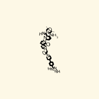 CN/C=N\C(=N)c1ccc(C2=CCN(C(=O)CN3CC[C@]4(CCN(c5ccc(N)c(C(=N)N6C[C@@H](C)O[C@@H](C)C6)n5)C4=O)C3)CC2)cc1